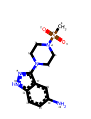 CS(=O)(=O)N1CCN(c2n[nH]c3ccc(N)cc23)CC1